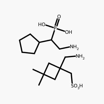 CC1(C)CC(CN)(CS(=O)(=O)O)C1.NCC(C1CCCC1)P(=O)(O)O